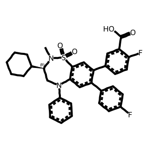 CN1[C@H](C2CCCCC2)CN(c2ccccc2)c2cc(-c3ccc(F)cc3)c(-c3ccc(F)c(C(=O)O)c3)cc2S1(=O)=O